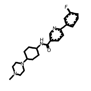 CN1CCN(C2CCC(NC(=O)c3ccc(-c4cccc(F)c4)nc3)CC2)CC1